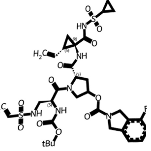 C=C[C@@H]1C[C@]1(NC(=O)[C@@H]1CC(OC(=O)N2Cc3cccc(F)c3C2)CN1C(=O)[C@H](CNS(=O)(=O)C=C)NC(=O)OC(C)(C)C)C(=O)NS(=O)(=O)C1CC1